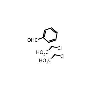 O=C(O)CCl.O=C(O)CCl.O=Cc1ccccc1